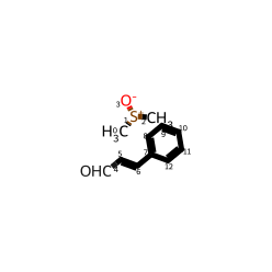 C[S+](C)[O-].O=CC=Cc1ccccc1